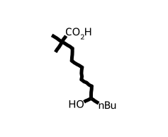 CCCCC(O)CCCCCC(C)(C)C(=O)O